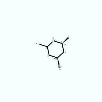 CC[C@H]1CC(I)O[C@@H](C)C1